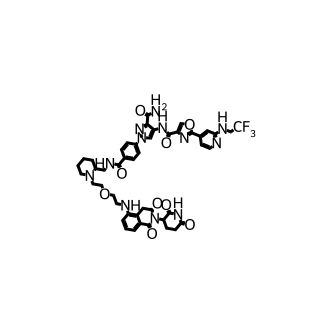 NC(=O)c1nn(-c2ccc(C(=O)NCC3CCCCN3CCOCCNc3cccc4c3CC(=O)N(C3CCC(=O)NC3=O)C4=O)cc2)cc1NC(=O)c1coc(-c2ccnc(NCC(F)(F)F)c2)n1